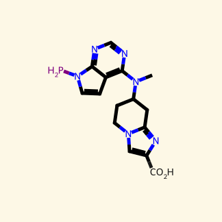 CN(c1ncnc2c1ccn2P)C1CCn2cc(C(=O)O)nc2C1